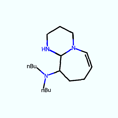 CCCCN(CCCC)C1CCC=CN2CCCNC12